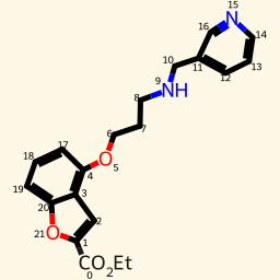 CCOC(=O)c1cc2c(OCCCNCc3cccnc3)cccc2o1